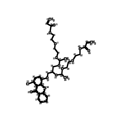 C=CC(=O)OCCOCCOC(C)OCC(COc1ccc(Cl)c2c(=O)c3ccccc3sc12)OC(C)OCCOCCOC(=O)C=C